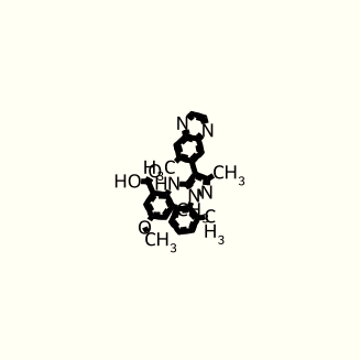 COc1cc(C)c(Nc2c(-c3cc4nccnc4cc3C)c(C)nn2-c2ccccc2C)c(C(=O)O)c1